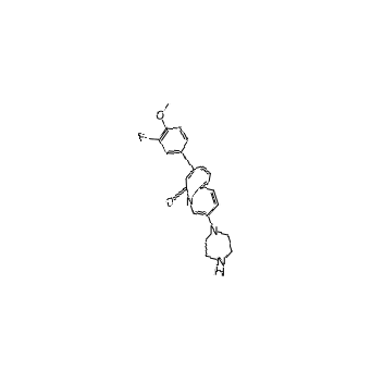 COc1ccc(C2=C\C(=O)N3C=C(N4CCNCC4)C=C\C3=C/C=C/2)cc1F